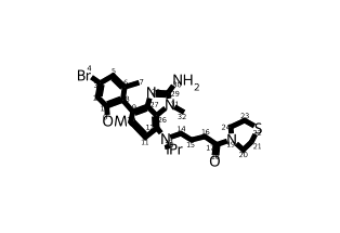 COc1cc(Br)cc(C)c1-c1ccc(N(CCCC(=O)N2CCSCC2)C(C)C)c2c1nc(N)n2C